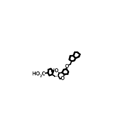 O=C(O)c1cccc(C[C@H]2COc3ccc(OCc4ccc5ccccc5c4)cc3[C@H]2O)c1